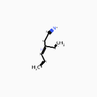 C=C/C=C(\C=C)CC#N